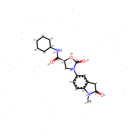 CC(C)N1C(=O)Cc2cc(N3C[C@@H](C(=O)NC4CCCCC4)OC3=O)ccc21